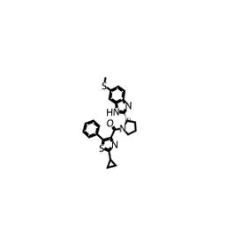 CSc1ccc2nc([C@@H]3CCCN3C(=O)c3nc(C4CC4)sc3-c3ccccc3)[nH]c2c1